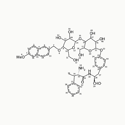 COc1ccc2cc(COC3C(CO)OC(OC4C(CO)OC(Oc5ccc(C[C@@H]([C]=O)NC(=O)[C@@H](N)C(C)c6ccccc6)cc5)C(O)C4O)C(O)C3O)ccc2c1